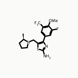 COc1c(F)cc(-c2nc(N)sc2CN2CCC[C@H]2C)cc1C(F)(F)F